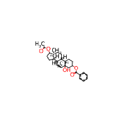 CC(=O)OC1CC[C@H]2[C@@H]3C=CC4(O)CC(OC(=O)c5ccccc5)CC[C@]4(C)[C@@H]3CC[C@]12C